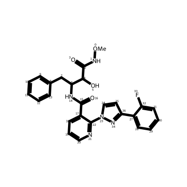 CONC(=O)C(O)C(Cc1ccccc1)NC(=O)c1cccnc1-n1ccc(-c2ccccc2F)n1